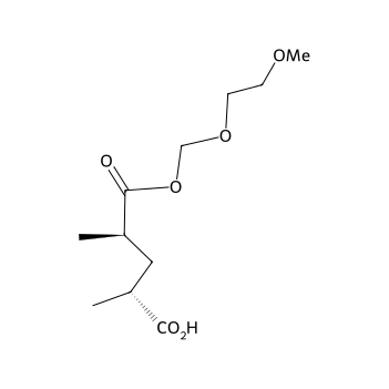 COCCOCOC(=O)[C@H](C)C[C@@H](C)C(=O)O